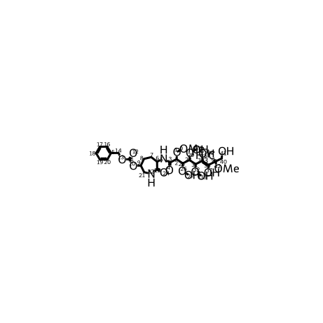 COOC(C(=O)NC1CCC(OC(=O)OCc2ccccc2)CNC1=O)C(OO)C(OO)C(OO)/C(O)=C(\O)C(C)(CO)OC